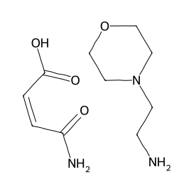 NC(=O)/C=C\C(=O)O.NCCN1CCOCC1